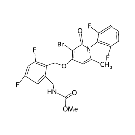 COC(=O)NCc1cc(F)cc(F)c1COc1cc(C)n(-c2c(F)cccc2F)c(=O)c1Br